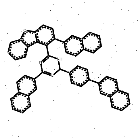 c1ccc2cc(C3=NC(c4ccc(-c5ccc6ccccc6c5)cc4)NC(c4c(-c5ccc6ccccc6c5)ccc5oc6ccccc6c45)=N3)ccc2c1